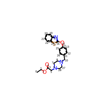 CCOC(=O)CN1CCN(Cc2ccc(Oc3nc4ccccc4s3)cc2)CC1